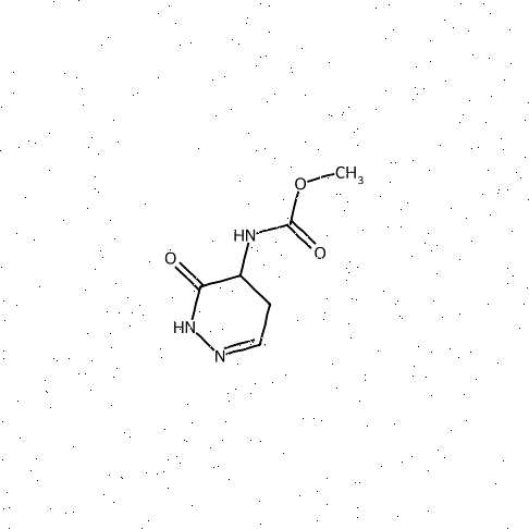 COC(=O)NC1C[C]=NNC1=O